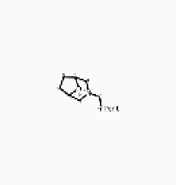 CCCCCCN1CC2CCC(C1)O2